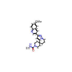 CCNC(=O)N1CCC2(CCCn3nc(-c4cnc5ccc(OC)cc5c4)cc32)CC1